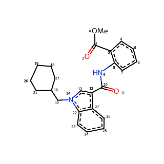 COC(=O)c1ccccc1NC(=O)c1cn(CC2CCCCC2)c2ccccc12